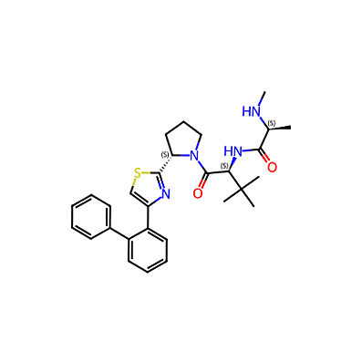 CN[C@@H](C)C(=O)N[C@H](C(=O)N1CCC[C@H]1c1nc(-c2ccccc2-c2ccccc2)cs1)C(C)(C)C